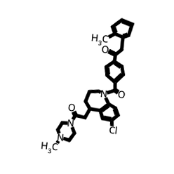 Cc1ccccc1CC(=O)c1ccc(C(=O)N2CCCC(CC(=O)N3CCN(C)CC3)c3cc(Cl)ccc32)cc1